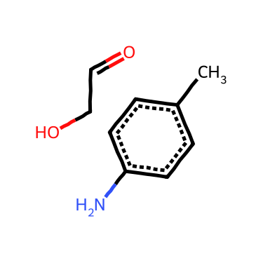 Cc1ccc(N)cc1.O=CCO